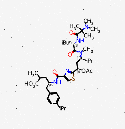 CC[C@H](C)[C@H](NC(=O)C(C)(C)N(C)C)C(=O)N(C)[C@H](C[C@@H](OC(C)=O)c1nc(C(=O)N[C@@H](Cc2ccc(C(C)C)cc2)CC(C)C(=O)O)cs1)C(C)C